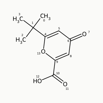 CC(C)(C)c1cc(=O)cc(C(=O)O)o1